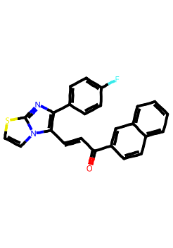 O=C(C=Cc1c(-c2ccc(F)cc2)nc2sccn12)c1ccc2ccccc2c1